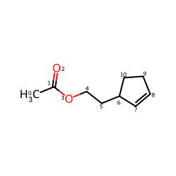 CC(=O)OCCC1C=CCC1